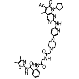 CC(=O)c1c(C)c2cnc(Nc3ccc(N4CCN(CC(=O)NCC(=O)Nc5ccccc5C(=O)Nc5nc(C)c(C)s5)CC4)cn3)nc2n(C2CCCC2)c1=O